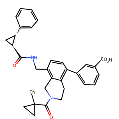 N#CC1(C(=O)N2CCc3c(-c4cccc(C(=O)O)c4)ccc(CNC(=O)[C@H]4C[C@@H]4c4ccccc4)c3C2)CC1